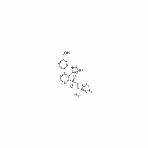 C[Si](C)(C)CCS(=O)(=O)c1nccc(-c2ccc(CO)cc2)c1-c1nn[nH]n1